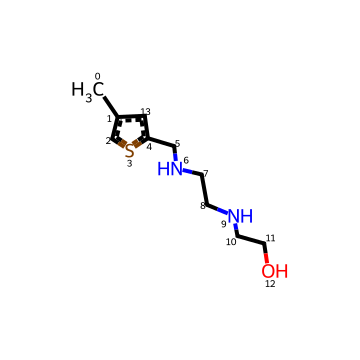 Cc1csc(CNCCNCCO)c1